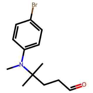 CN(c1ccc(Br)cc1)C(C)(C)CCC=O